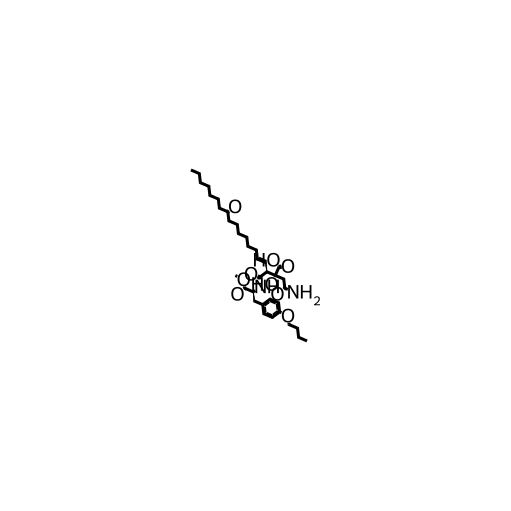 CCCCCCCC(=O)CCCCCCC=C[C@H](C(=O)N[C@@H](Cc1ccc(OCCCC)cc1)C(=O)OC)[C@@](O)(CC(N)=O)C(=O)O